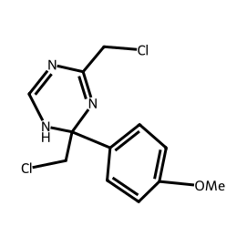 COc1ccc(C2(CCl)N=C(CCl)N=CN2)cc1